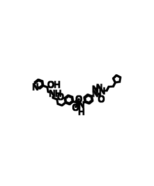 O=c1n(CCCC2CCCC2)nnn1-c1ccc(NS(=O)(=O)c2ccc3c(c2)CCC(CNCC(O)c2cccnc2)O3)cc1